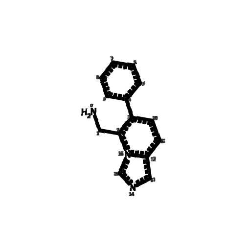 NCc1c(-c2ccccc2)ccc2cncn12